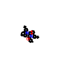 Cc1cc2c3c(c1)N(c1ccc(C(C)(C)C)cc1-c1ccccc1)c1c(oc4ccc(C)cc14)B3c1ccc3c(c1N2c1ccc(C(C)(C)C)cc1)C(C)(C)CCC3(C)C